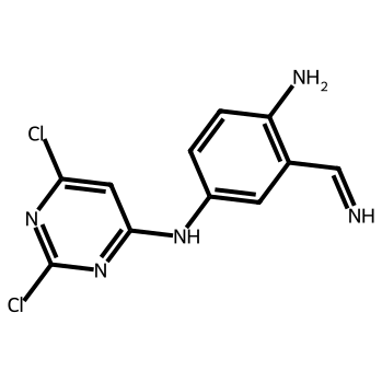 N=Cc1cc(Nc2cc(Cl)nc(Cl)n2)ccc1N